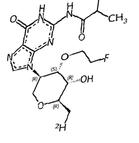 [2H]C[C@H]1OC[C@@H](n2cnc3c(=O)[nH]c(NC(=O)C(C)C)nc32)[C@H](OCCF)[C@@H]1O